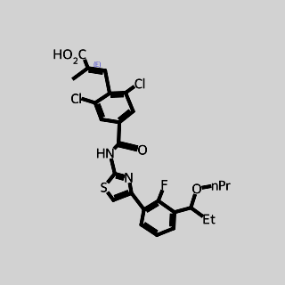 CCCOC(CC)c1cccc(-c2csc(NC(=O)c3cc(Cl)c(/C=C(\C)C(=O)O)c(Cl)c3)n2)c1F